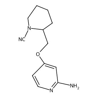 N#CN1CCCCC1COc1ccnc(N)c1